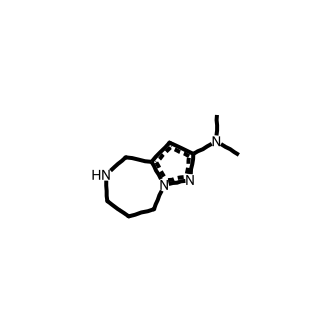 CN(C)c1cc2n(n1)CCCNC2